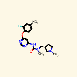 CN1CC[C@H](CN(C)C(=O)Nc2cc(Oc3ccc([N+](=O)[O-])cc3F)ncn2)C1